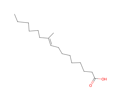 CCCCCC/C(C)=C/CCCCCCCC(=O)O